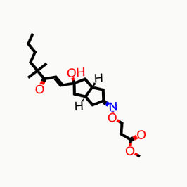 CCCCC(C)(C)C(=O)C=CC1(O)C[C@@H]2CC(=NOCCC(=O)OC)C[C@H]2C1